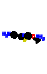 Nc1ccc(-c2cc3sc4cc(OCC5(N)CC5)ccc4n3c2)cc1